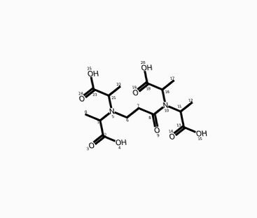 CC(C(=O)O)N(CCC(=O)N(C(C)C(=O)O)C(C)C(=O)O)C(C)C(=O)O